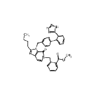 CCCCc1nc2ccn(Cc3ccccc3C(=O)OC)c(=O)c2n1Cc1ccc(-c2ccccc2-c2nnn[nH]2)cc1